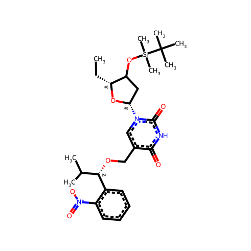 CC[C@H]1O[C@@H](n2cc(CO[C@H](c3ccccc3[N+](=O)[O-])C(C)C)c(=O)[nH]c2=O)CC1O[Si](C)(C)C(C)(C)C